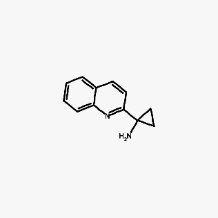 NC1(c2ccc3ccccc3n2)CC1